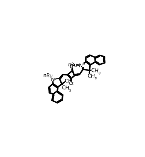 CCCCN1/C(=C/C2=C([O-])C(=C/C3=[N+](CCCC)c4ccc5ccccc5c4C3(C)C)/C2=O)C(C)(C)c2c1ccc1ccccc21